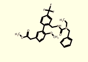 CCN(Cc1ccccc1)C(=O)NCc1cc(C(F)(F)F)ccc1-c1cc(CC(=O)OC)ccc1OC